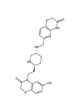 N#Cc1ccc2c(c1)N(CC[C@@H]1CC[C@@H](NCc3ccc4c(n3)NC(=O)CO4)CN1)C(=O)CO2